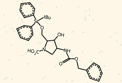 CC(C)(C)[Si](OCC1C(O)C(NC(=O)OCc2ccccc2)CN1C(=O)O)(c1ccccc1)c1ccccc1